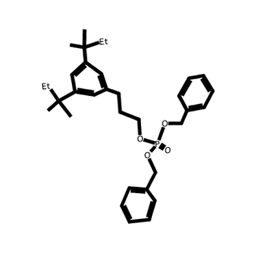 CCC(C)(C)c1cc(CCCOP(=O)(OCc2ccccc2)OCc2ccccc2)cc(C(C)(C)CC)c1